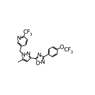 Cc1cc(-c2nc(-c3ccc(OC(F)(F)F)cc3)no2)nn1Cc1ccc(C(F)(F)F)nc1